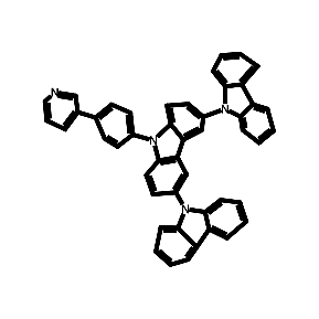 c1cncc(-c2ccc(-n3c4ccc(-n5c6ccccc6c6ccccc65)cc4c4cc(-n5c6ccccc6c6ccccc65)ccc43)cc2)c1